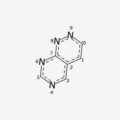 [c]1cc2cncnc2nn1